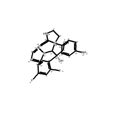 CC[C@@](O)(c1ccc(F)cc1F)C(n1cncn1)[N+]1(c2ccc(N)cc2)CCNC1=O